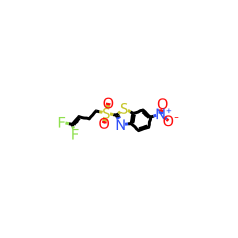 O=[N+]([O-])c1ccc2nc(S(=O)(=O)CCC=C(F)F)sc2c1